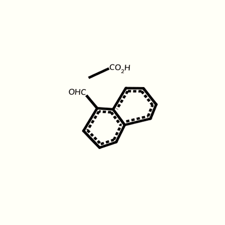 CC(=O)O.O=Cc1cccc2ccccc12